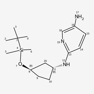 CC(C)(C)[Si](C)(C)O[C@@H]1CC[C@@H](Nc2ccc(N)cn2)C1